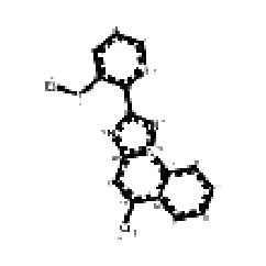 CCSc1cccnc1-c1nc2cc(C(F)(F)F)c3ccccc3n2n1